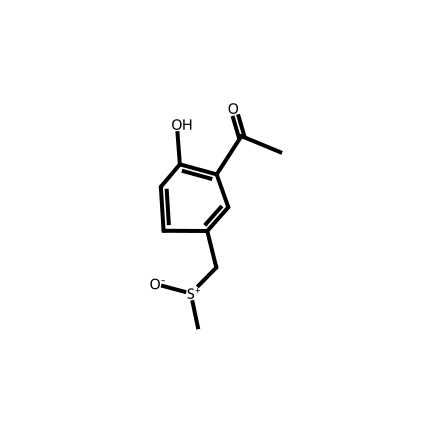 CC(=O)c1cc(C[S+](C)[O-])ccc1O